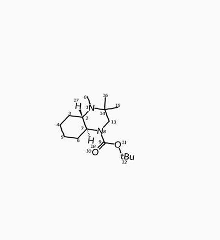 CN1[C@H]2CCCC[C@@H]2N(C(=O)OC(C)(C)C)CC1(C)C